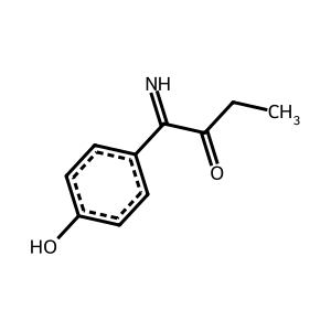 CCC(=O)C(=N)c1ccc(O)cc1